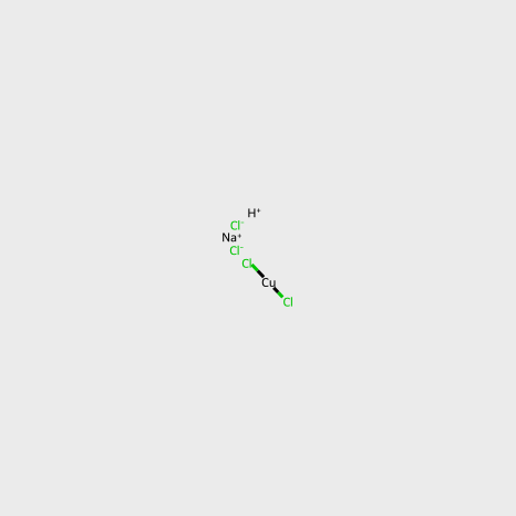 [Cl-].[Cl-].[Cl][Cu][Cl].[H+].[Na+]